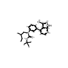 CCC(C)CN(C(=O)OC(C)(C)C)c1cccc(-c2ccnc3[nH]nc(Cl)c23)c1